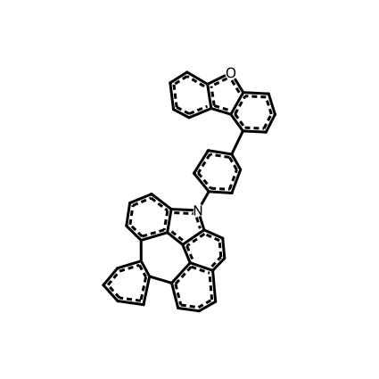 c1ccc2c(c1)-c1cccc3ccc4c(c13)c1c-2cccc1n4-c1ccc(-c2cccc3oc4ccccc4c23)cc1